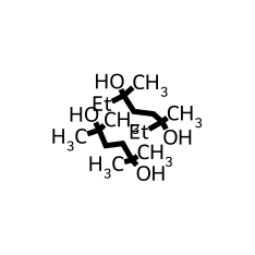 CC(C)(O)CCC(C)(C)O.CCC(C)(O)CCC(C)(O)CC